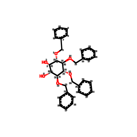 O[C@@H]1[C@H](O)[C@H](OCc2ccccc2)[C@@H](OCc2ccccc2)[C@H](OCc2ccccc2)[C@H]1OCc1ccccc1